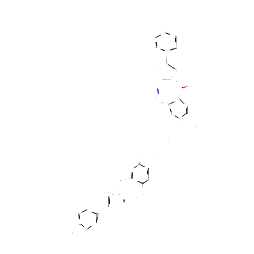 COc1ccc(C2=CN3C(=O)c4cc(OC)c(OCCCOc5cc6c(cc5OC)C(O)N5C=C(c7ccc(N)cc7)C[C@H]5C=N6)cc4N=CC3C2)cc1